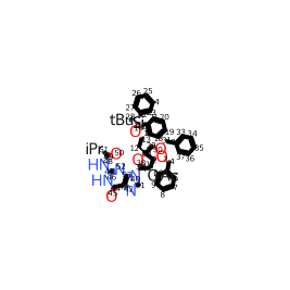 CC(=O)OC1C(OCc2ccccc2)[C@@](CCO[Si](c2ccccc2)(c2ccccc2)C(C)(C)C)(COCc2ccccc2)O[C@H]1n1cnc2c(=O)[nH]c(NC(=O)C(C)C)nc21